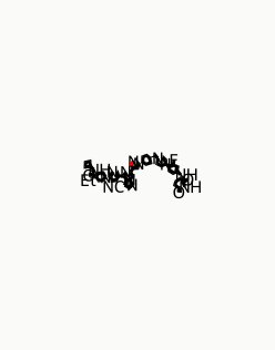 CCC1(C(=O)NC2CCC2)CCN(c2ccc(-c3nc(-c4cnn([C@H]5CC[C@H](CN6CCN(c7ccc(N[C@H]8CCC(=O)NC8=O)cc7F)CC6)CC5)c4)cn4ncc(C#N)c34)cn2)CC1